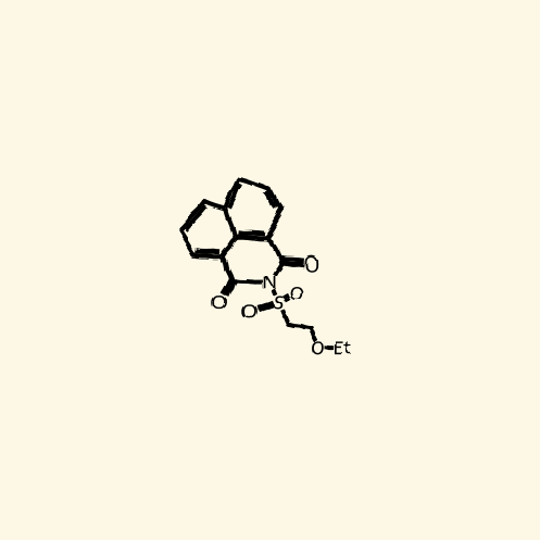 CCOCCS(=O)(=O)N1C(=O)c2cccc3cccc(c23)C1=O